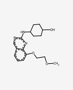 COCCOc1cccc2cnc(NC3CCC(O)CC3)nc12